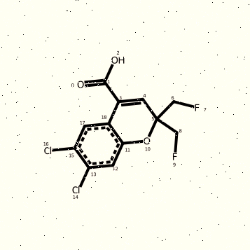 O=C(O)C1=CC(CF)(CF)Oc2cc(Cl)c(Cl)cc21